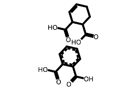 O=C(O)C1C=CCCC1C(=O)O.O=C(O)c1ccccc1C(=O)O